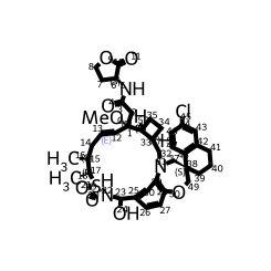 CO[C@@]1(CC(=O)N[C@H]2CCOC2=O)/C=C/C[C@H](C)[C@@H](C)S(=O)(=O)NC(O)c2ccc3c(c2)N(C[C@@H]2CC[C@H]21)C[C@@]1(CCCc2cc(Cl)ccc21)CO3